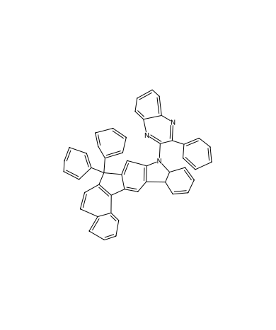 C1=CC2c3cc4c(cc3N(c3nc5ccccc5nc3-c3ccccc3)C2C=C1)C(c1ccccc1)(c1ccccc1)c1ccc2ccccc2c1-4